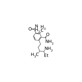 CCC(N)C(C)CCc1ccc(C(N)=O)c(C)c1C(N)=O